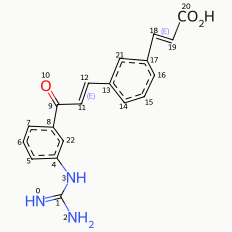 N=C(N)Nc1cccc(C(=O)/C=C/c2cccc(/C=C/C(=O)O)c2)c1